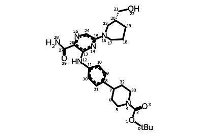 CC(C)(C)OC(=O)N1CCC(c2ccc(Nc3nc(N4CCC[C@@H](CO)C4)cnc3C(N)=O)cc2)CC1